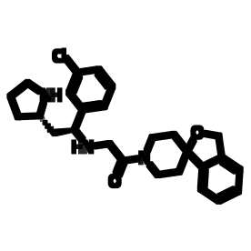 O=C(CN[C@@H](C[C@@H]1CCCN1)c1cccc(Cl)c1)N1CCC2(CC1)OCc1ccccc12